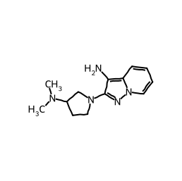 CN(C)C1CCN(c2nn3ccccc3c2N)C1